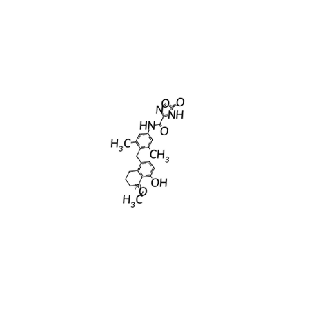 CO[C@@H]1CCCc2c(Cc3c(C)cc(NC(=O)c4noc(=O)[nH]4)cc3C)ccc(O)c21